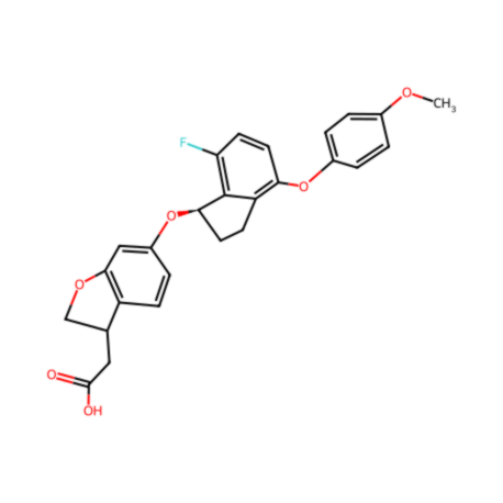 COc1ccc(Oc2ccc(F)c3c2CC[C@H]3Oc2ccc3c(c2)OCC3CC(=O)O)cc1